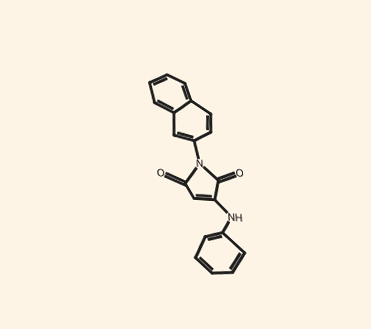 O=C1C=C(Nc2ccccc2)C(=O)N1c1ccc2ccccc2c1